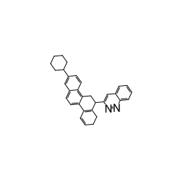 C1=CC2=C(CC1)C(c1cc3ccccc3nn1)Cc1c2ccc2cc(C3CCCCC3)ccc12